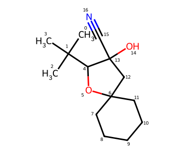 CC(C)(C)C1OC2(CCCCC2)CC1(O)C#N